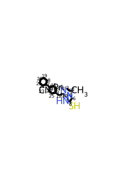 CCCN1C=C(C)N2C=C(S)NN2C1Cc1ccc(-c2ccccc2C#N)cc1